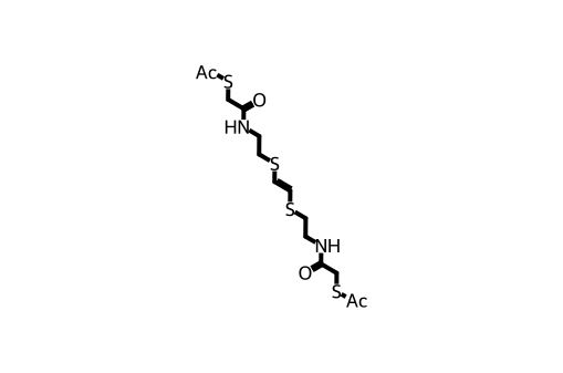 CC(=O)SCC(=O)NCCSC=CSCCNC(=O)CSC(C)=O